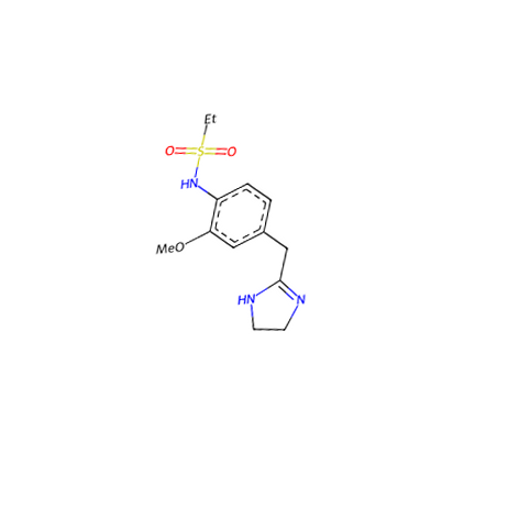 CCS(=O)(=O)Nc1ccc(CC2=NCCN2)cc1OC